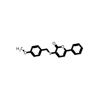 COc1ccc(CSc2ccc(-c3ccccc3)oc2=O)cc1